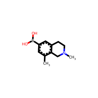 Cc1cc(B(O)O)cc2c1CN(C)CC2